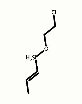 CC=C[SiH2]OCCCl